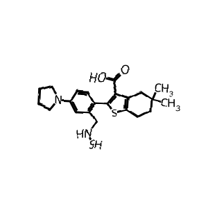 CC1(C)CCc2sc(-c3ccc(N4CCCC4)cc3CNS)c(C(=O)O)c2C1